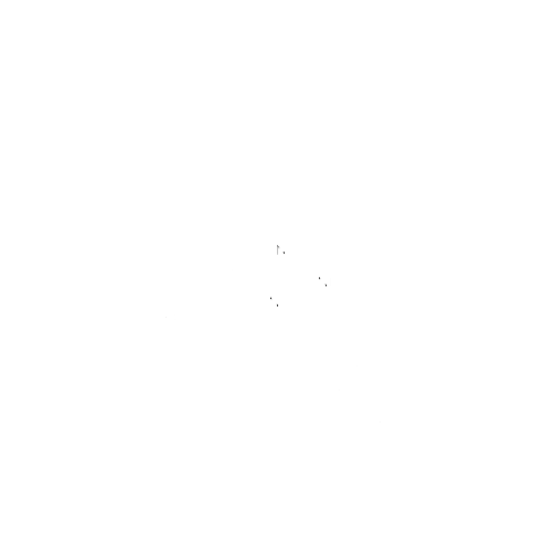 c1ccc(C2=NC(c3cc(-c4ccc(-c5ccccc5)cc4)cc4oc5ccccc5c34)=NC(c3ccc(-c4cccc5ccccc45)cc3)N2)cc1